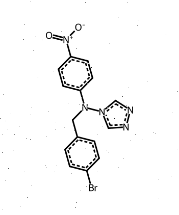 O=[N+]([O-])c1ccc(N(Cc2ccc(Br)cc2)n2cnnc2)cc1